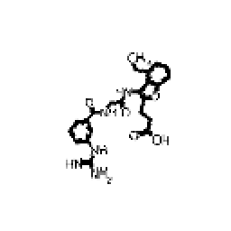 CCc1cccc2oc(CCC(=O)O)c(NC(=O)CNC(=O)c3cccc(NC(=N)N)c3)c12